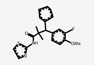 COc1ccc(C(c2ccccc2)C(C)(C)C(=O)Nc2nccs2)cc1F